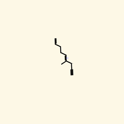 C#C[CH]/C(C)=C/CCC=C